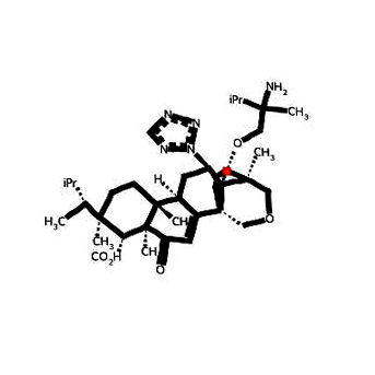 CC(C)[C@@H](C)[C@@]1(C)CC[C@]2(C)[C@H]3CC[C@@H]4[C@@]5(COC[C@]4(C)[C@@H](OCC(C)(N)C(C)C)[C@H](n4ncnn4)C5)C3=CC(=O)[C@@]2(C)[C@@H]1C(=O)O